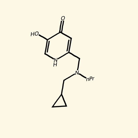 CCCN(Cc1cc(=O)c(O)c[nH]1)CC1CC1